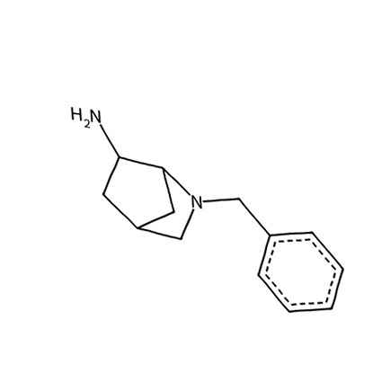 NC1CC2CC1N(Cc1ccccc1)C2